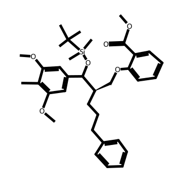 COC(=O)c1ccccc1OC[C@@H](CCCc1ccccc1)C(O[Si](C)(C)C(C)(C)C)c1cc(OC)c(C)c(OC)c1